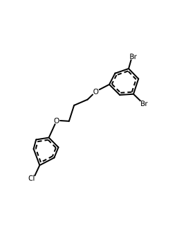 Clc1ccc(OCCCOc2cc(Br)cc(Br)c2)cc1